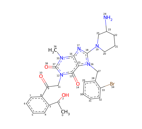 CC(O)c1ccccc1C(=O)Cn1c(=O)c2c(nc(N3CCCC(N)C3)n2Cc2ccccc2Br)n(C)c1=O